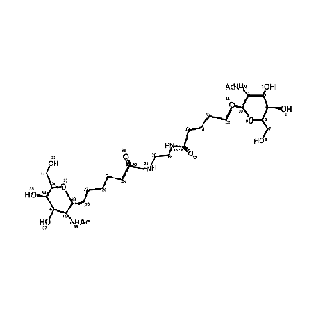 CC(=O)NC1C(O)[C@@H](O)C(CO)O[C@H]1OCCCCC(=O)NCCNC(=O)CCCCC[C@@H]1OC(CO)[C@H](O)C(O)C1NC(C)=O